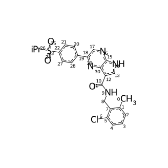 Cc1cccc(Cl)c1CNC(=O)c1c[nH]c2ncc(-c3ccc(S(=O)(=O)C(C)C)cc3)nc12